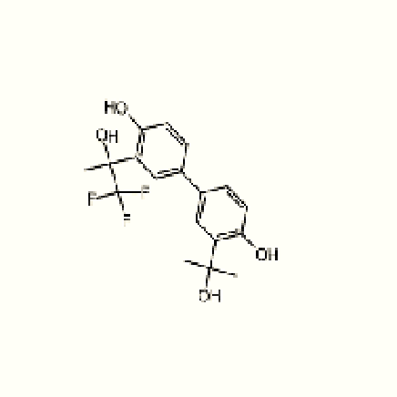 CC(C)(O)c1cc(-c2ccc(O)c(C(C)(O)C(F)(F)F)c2)ccc1O